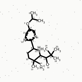 CC(C)Oc1cnc(C2CCC(C)(C)C(C([O])C(C)(C)C)N2)nc1